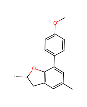 [CH2]C1Cc2cc(C)cc(-c3ccc(OC)cc3)c2O1